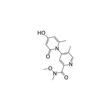 CON(C)C(=O)c1cc(-n2c(C)cc(O)cc2=O)c(C)cn1